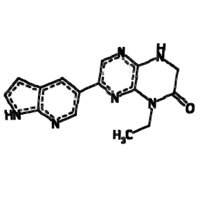 CCN1C(=O)CNc2ncc(-c3cnc4[nH]ccc4c3)nc21